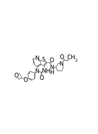 C=CC(=O)N1CCCC(NC(=O)c2sc3nccc4c3c2NC(=O)N4c2ccc(OC3COC3)cc2)C1